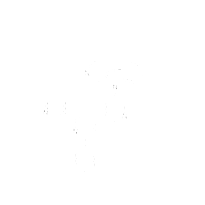 c1ccc(-c2cc(-c3cncc(-n4c5ccccc5c5ccncc54)c3)cc(-c3cccnc3)n2)cc1